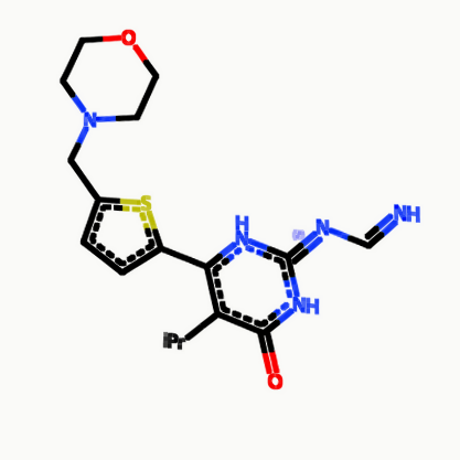 CC(C)c1c(-c2ccc(CN3CCOCC3)s2)[nH]/c(=N/C=N)[nH]c1=O